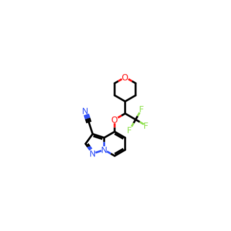 N#Cc1cnn2cccc(OC(C3CCOCC3)C(F)(F)F)c12